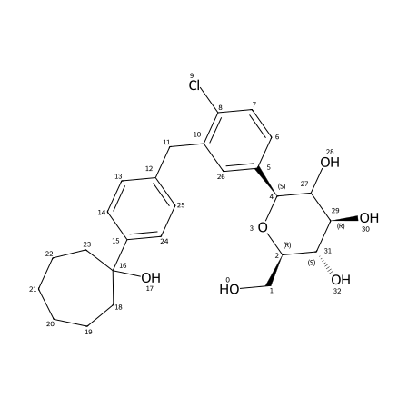 OC[C@H]1O[C@@H](c2ccc(Cl)c(Cc3ccc(C4(O)CCCCCC4)cc3)c2)C(O)[C@@H](O)[C@@H]1O